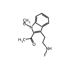 COn1c(C(C)=O)c(CCNF)c2ccccc21